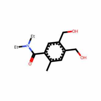 CCN(CC)C(=O)c1cc(CO)c(CO)cc1C